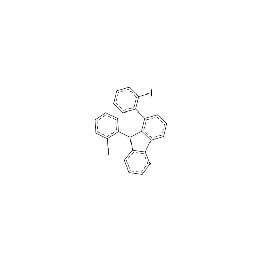 Ic1ccccc1-c1cccc2c1C(c1ccccc1I)c1ccccc1-2